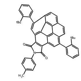 Cc1ccc(-n2c(=O)c3c4cc(-c5ccccc5C(C)(C)C)c5ccc6ccc7c(-c8ccccc8C(C)(C)C)cc(c3c2=O)c2c7c6c5c42)cc1